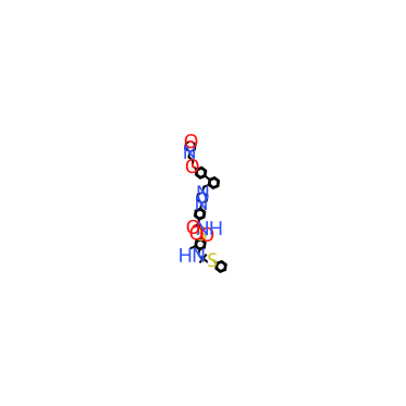 Cc1cc(S(=O)(=O)NC(=O)c2ccc(N3CCN(Cc4ccccc4-c4ccc(OCCN5CCOCC5)cc4)CC3)cc2)ccc1NC(C)(C)CSc1ccccc1